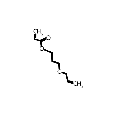 C=CCOCCCOC(=O)C=C